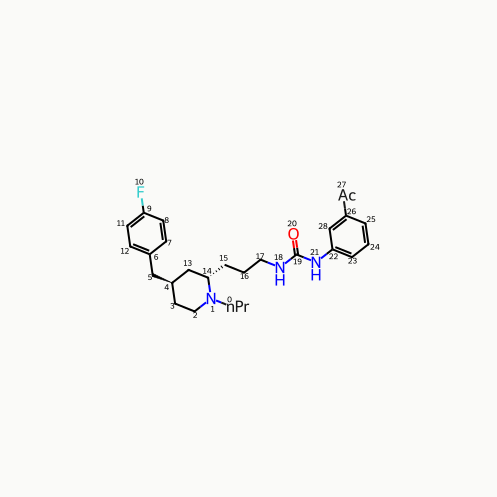 CCCN1CC[C@@H](Cc2ccc(F)cc2)C[C@@H]1CCCNC(=O)Nc1cccc(C(C)=O)c1